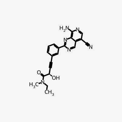 CCN(C)C(=O)[C@H](O)C#Cc1cccc(-c2ncc3c(C#N)cnc(N)c3n2)c1